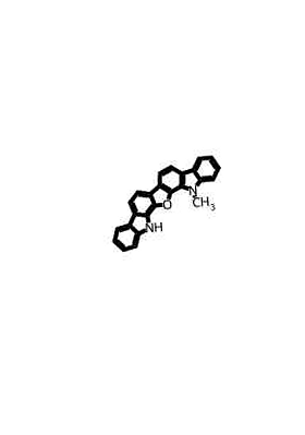 Cn1c2ccccc2c2ccc3c4ccc5c6ccccc6[nH]c5c4oc3c21